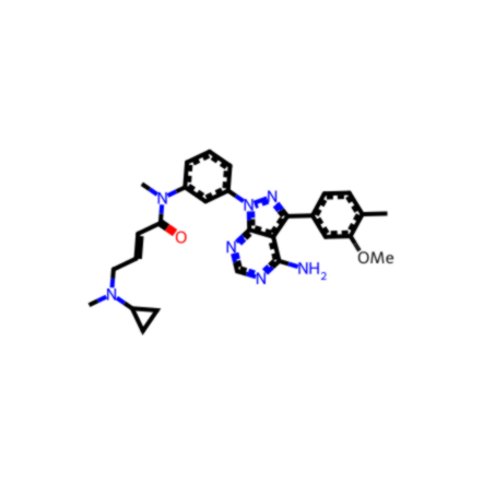 COc1cc(-c2nn(-c3cccc(N(C)C(=O)C=CCN(C)C4CC4)c3)c3ncnc(N)c23)ccc1C